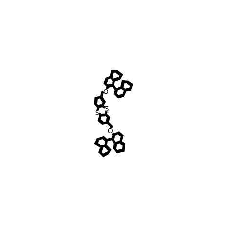 c1ccc2c(-c3c(OCc4ccc5c(c4)Sc4cc(COc6ccc7ccccc7c6-c6cccc7ccccc67)ccc4S5)ccc4ccccc34)cccc2c1